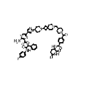 Nc1ncc(-c2cnn(C3CCN(C4CC5(CCN(CC6CCN(C(=O)c7ccc(C(=O)NC8CCC(=O)NC8=O)cc7)CC6)CC5)C4)CC3)c2)nc1C(=O)O[C@@H](C(=O)Nc1ccc(F)cc1)c1ccccc1